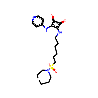 O=c1c(NCCCCCCS(=O)(=O)N2CCCCCC2)c(Nc2ccncc2)c1=O